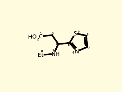 CCNC(CC(=O)O)c1nccs1